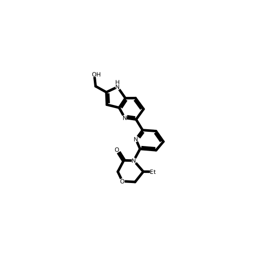 CCC1COCC(=O)N1c1cccc(-c2ccc3[nH]c(CO)cc3n2)n1